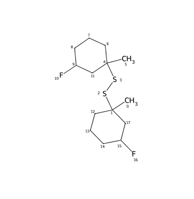 CC1(SSC2(C)CCCC(F)C2)CCCC(F)C1